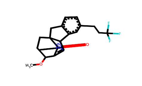 COC1CCC23CC1=C1NC(=O)NC12c1cc(CCC(F)(F)F)ccc1C3